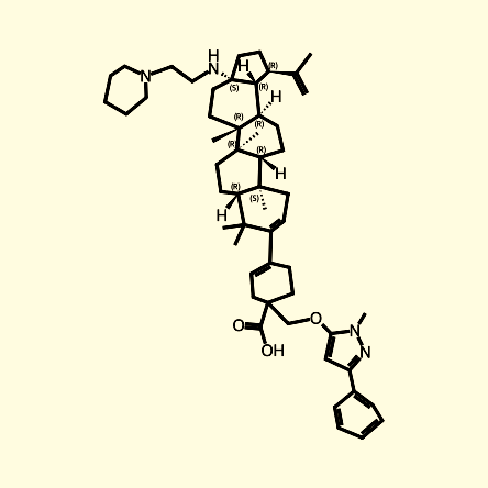 C=C(C)[C@@H]1CC[C@]2(NCCN3CCCCC3)CC[C@]3(C)[C@H](CC[C@@H]4[C@@]5(C)CC=C(C6=CCC(COc7cc(-c8ccccc8)nn7C)(C(=O)O)CC6)C(C)(C)[C@@H]5CC[C@]43C)[C@@H]12